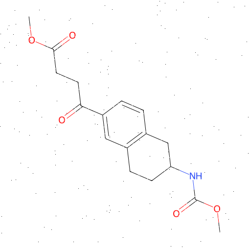 COC(=O)CCC(=O)c1ccc2c(c1)CCC(NC(=O)OC)C2